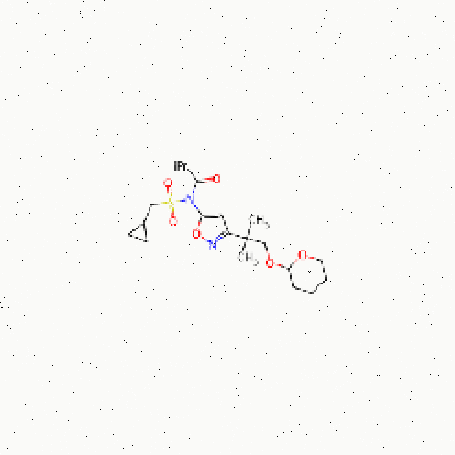 CC(C)C(=O)N(c1cc(C(C)(C)COC2CCCCO2)no1)S(=O)(=O)CC1CC1